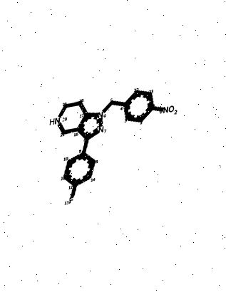 O=[N+]([O-])c1ccc(Cn2nc(-c3ccc(F)cc3)c3c2CCNC3)cc1